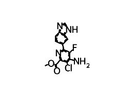 COC(=O)c1nc(-c2ccc3nc[nH]c3c2)c(F)c(N)c1Cl